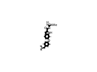 CNC(N)=NC(=O)c1cc2ccc(Oc3ccc(CN(C)C)cc3)cc2[nH]1